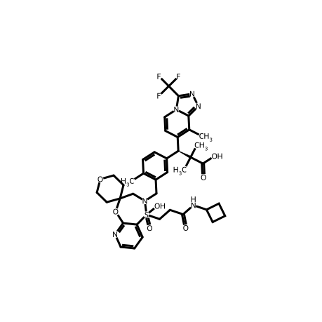 Cc1ccc([C@@H](c2ccn3c(C(F)(F)F)nnc3c2C)C(C)(C)C(=O)O)cc1CN1CC2(CCOCC2)Oc2ncccc2S1(=O)(O)CCC(=O)NC1CCC1